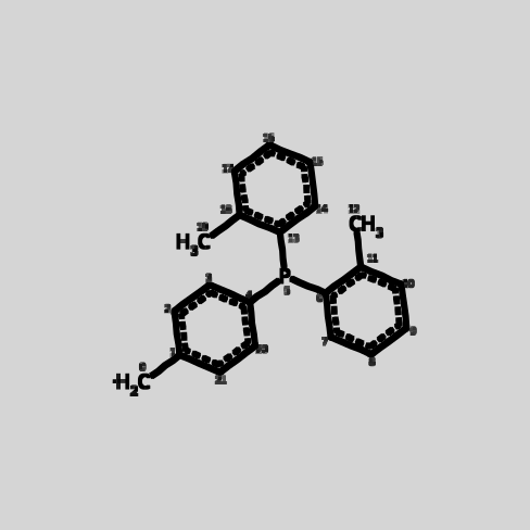 [CH2]c1ccc(P(c2ccccc2C)c2ccccc2C)cc1